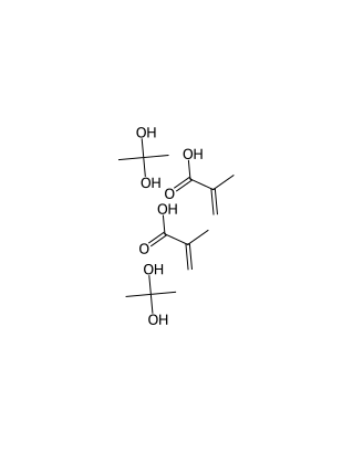 C=C(C)C(=O)O.C=C(C)C(=O)O.CC(C)(O)O.CC(C)(O)O